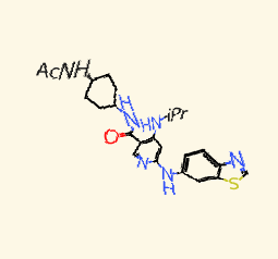 CC(=O)N[C@H]1CC[C@@H](NC(=O)c2cnc(Nc3ccc4ncsc4c3)cc2NC(C)C)CC1